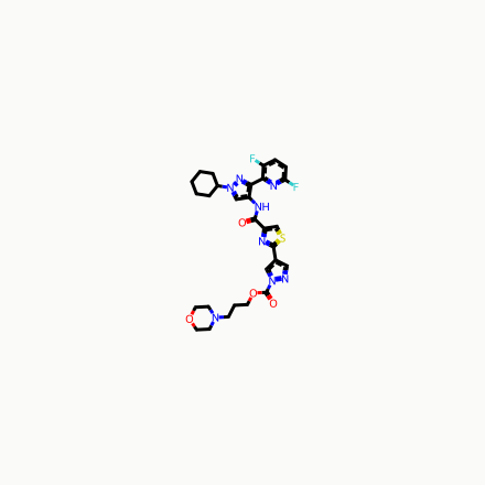 O=C(Nc1cn(C2CCCCC2)nc1-c1nc(F)ccc1F)c1csc(-c2cnn(C(=O)OCCCN3CCOCC3)c2)n1